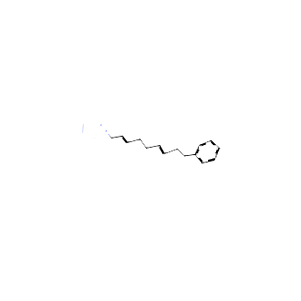 NC/C=C/CC/C=C/CCc1ccccc1